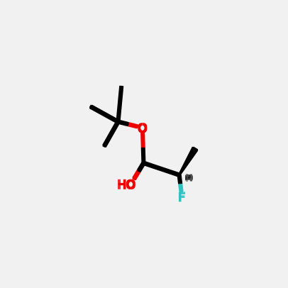 C[C@@H](F)C(O)OC(C)(C)C